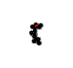 Cc1cccc2c3cc(N(c4ccc5c(c4)C(C)(C)c4ccccc4-5)c4ccccc4-c4ccccc4)ccc3c3oc4cc(N(c5ccccc5)c5cccc6c5oc5ccccc56)ccc4c3c12